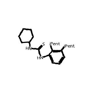 CCCC(C)c1cccc(NC(=S)NC2CCCCC2)c1C(C)CCC